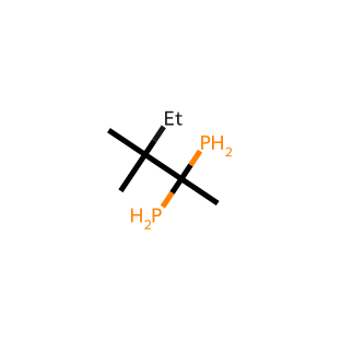 CCC(C)(C)C(C)(P)P